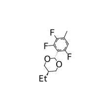 CC[C@H]1CO[C@H](c2c(F)cc(C)c(F)c2F)OC1